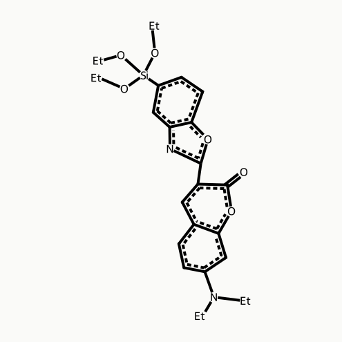 CCO[Si](OCC)(OCC)c1ccc2oc(-c3cc4ccc(N(CC)CC)cc4oc3=O)nc2c1